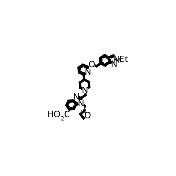 CCn1cc2ccc(COc3cccc(C4CCN(Cc5nc6ccc(C(=O)O)cc6n5C[C@@H]5CCO5)CC4)n3)cc2n1